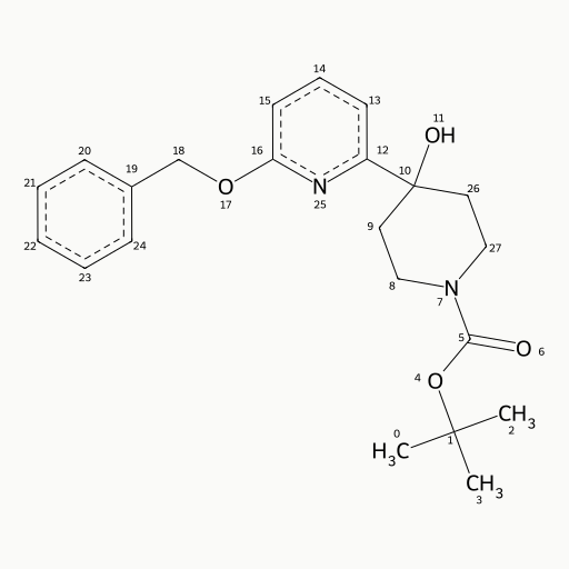 CC(C)(C)OC(=O)N1CCC(O)(c2cccc(OCc3ccccc3)n2)CC1